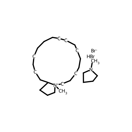 Br.CN1CCCC1.C[N+]12CCCCCCCCCCCCCCCCC1CCC2.[Br-]